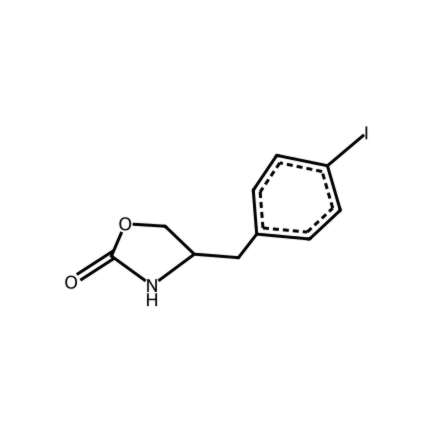 O=C1NC(Cc2ccc(I)cc2)CO1